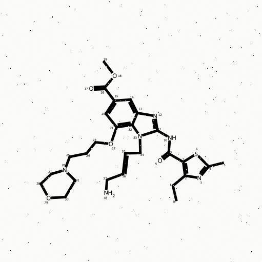 CCc1nc(C)sc1C(=O)Nc1nc2cc(C(=O)OC)cc(OCCCN3CCOCC3)c2n1C/C=C/CN